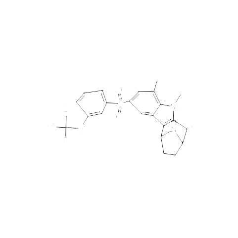 Cc1cc(S(=O)(=O)c2cccc(OC(F)(F)F)c2)cc2c3c(n(C)c12)CC1CCC3N1